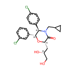 O=C1[C@H](C[C@@H](O)CO)O[C@H](c2cccc(Cl)c2)[C@@H](c2ccc(Cl)cc2)N1CC1CC1